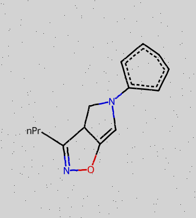 CCCC1=NOC2=CN(c3ccccc3)CC21